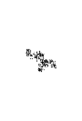 O=C(Cn1ccc(-c2cc(NCc3ccc(Cl)s3)n(C(=O)c3cnsc3)n2)c(Br)c1=O)c1ccno1